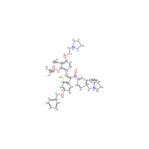 COc1cc(C(=O)c2c(-c3ccc(OCCN4CCCC4)c(C(C)(C)C)c3CO[SiH](C)C)sc3cc(OCc4ccccc4)ccc23)ccc1CN1CCCC1